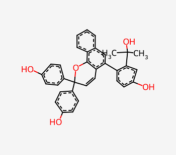 CC(C)(O)c1cc(O)ccc1-c1cc2ccccc2c2c1C=CC(c1ccc(O)cc1)(c1ccc(O)cc1)O2